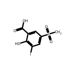 CS(=O)(=O)c1cc(I)c(O)c(C(=O)O)c1